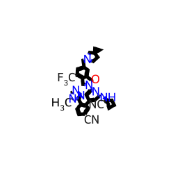 Cn1cnnc1-c1ccc(C#N)cc1-c1cc(NC2(C#N)CCC2)nc(N2Cc3c(cc(CN4CCC5(CC5)C4)cc3C(F)(F)F)C2=O)c1